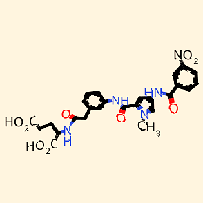 Cn1cc(NC(=O)c2cccc([N+](=O)[O-])c2)cc1C(=O)Nc1cccc(CC(=O)NC(CCC(=O)O)C(=O)O)c1